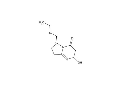 CCOC[C@@H]1CCC2=NC(O)CC(=O)N21